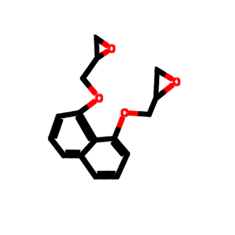 c1cc(OCC2CO2)c2c(OCC3CO3)cccc2c1